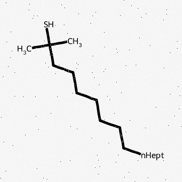 CCCCCCCCCCCCCCC(C)(C)S